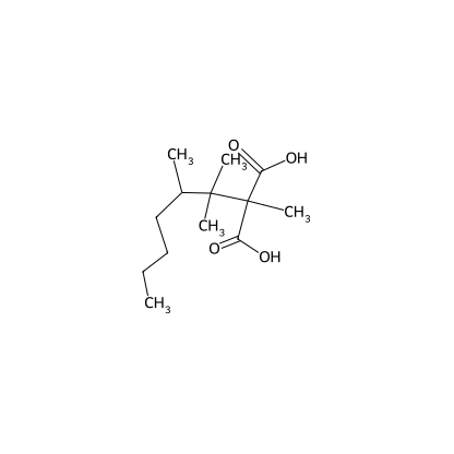 CCCCC(C)C(C)(C)C(C)(C(=O)O)C(=O)O